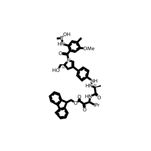 COc1cc(C(=O)N2C=C(c3ccc(NN[C@@H](C)C(=O)NC(C(=O)C(=O)OCC4c5ccccc5-c5ccccc54)C(C)C)cc3)C[C@H]2CO)c(NB(C)O)cc1C